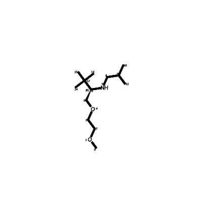 COCCOC[C@H](NCC(C)C)C(C)(C)C